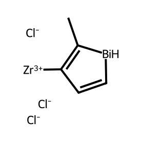 C[C]1=[C]([Zr+3])C=[CH][BiH]1.[Cl-].[Cl-].[Cl-]